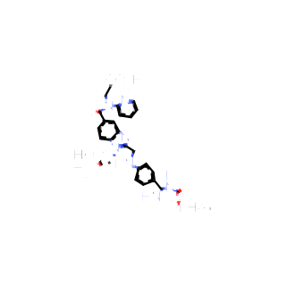 CCCCCCOC(=O)NC(=N)c1ccc(NCc2nc3cc(C(=O)N(CCC(=O)O)c4ccccn4)ccc3n2C)cc1.CS(=O)(=O)O.O.[CH2]C